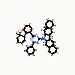 CC12C=CC=CC1c1c(cccc1-c1nc(-c3ccccc3)nc(-n3c4cc5ccccc5cc4c4cc5ccccc5cc43)n1)O2